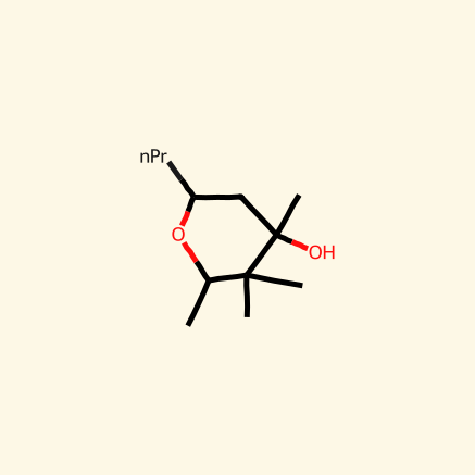 CCCC1CC(C)(O)C(C)(C)C(C)O1